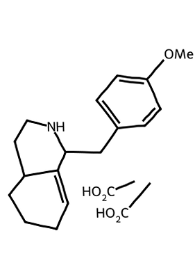 CC(=O)O.CC(=O)O.COc1ccc(CC2NCCC3CCCC=C32)cc1